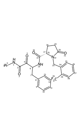 CC(C)NC(=O)C(=O)C(Cc1ccccc1)NC(=O)[C@@H]1CCC(=O)N1Cc1ccccc1C(F)(F)F